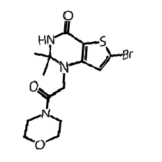 CC1(C)NC(=O)c2sc(Br)cc2N1CC(=O)N1CCOCC1